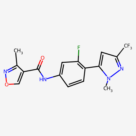 Cc1nocc1C(=O)Nc1ccc(-c2cc(C(F)(F)F)nn2C)c(F)c1